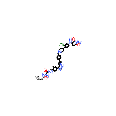 Cc1cc(-c2ncnn3cc(-c4ccc(CN5CCC(c6ccc(N[C@H]7CCC(=O)NC7=O)cc6Cl)CC5)cc4)cc23)ccc1CNC(=O)c1noc(C(C)(C)C)n1